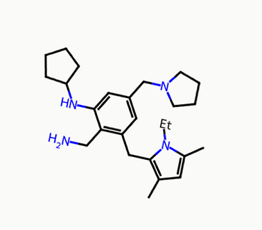 CCn1c(C)cc(C)c1Cc1cc(CN2CCCC2)cc(NC2CCCC2)c1CN